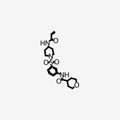 C=CC(=O)NC1CCN(S(=O)(=O)c2cccc(NC(=O)C3CCOCC3)c2)CC1